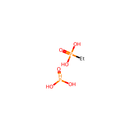 CCP(=O)(O)O.O=[PH](O)O